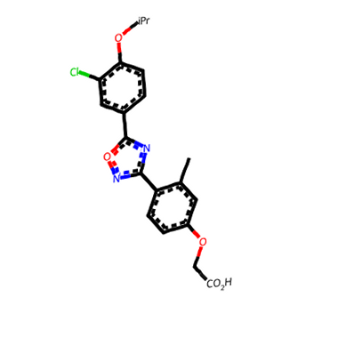 Cc1cc(OCC(=O)O)ccc1-c1noc(-c2ccc(OC(C)C)c(Cl)c2)n1